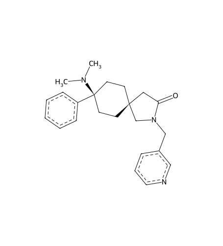 CN(C)[C@]1(c2ccccc2)CC[C@@]2(CC1)CC(=O)N(Cc1cccnc1)C2